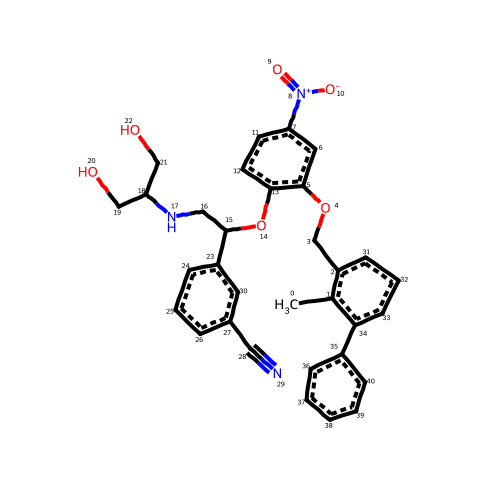 Cc1c(COc2cc([N+](=O)[O-])ccc2OC(CNC(CO)CO)c2cccc(C#N)c2)cccc1-c1ccccc1